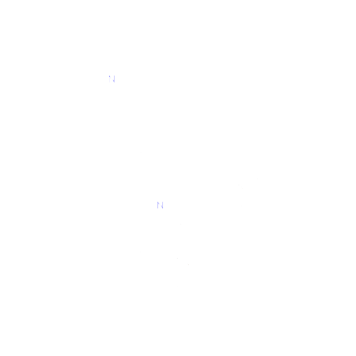 c1ccc(N(c2ccc(-c3ccc(-n4c5ccccc5c5ccccc54)cc3)cc2)c2ccc(-c3cccc4c3sc3ccccc34)cc2-c2cccc3c2sc2ccccc23)cc1